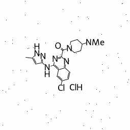 CNC1CCN(C(=O)c2nc(Nc3cc(C)[nH]n3)c3cc(Cl)ccc3n2)CC1.Cl